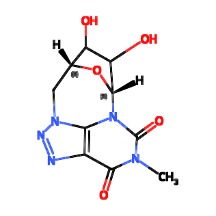 Cn1c(=O)c2nnn3c2n(c1=O)[C@@H]1O[C@H](C3)C(O)C1O